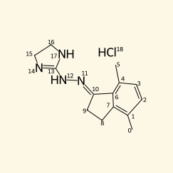 Cc1ccc(C)c2c1CCC2=NNC1=NCCN1.Cl